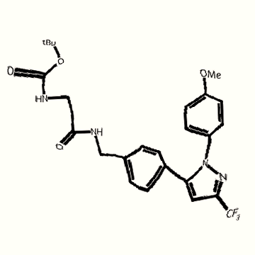 COc1ccc(-n2nc(C(F)(F)F)cc2-c2ccc(CNC(=O)CNC(=O)OC(C)(C)C)cc2)cc1